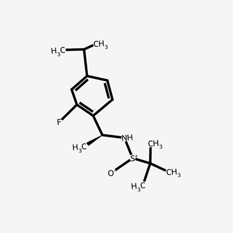 CC(C)c1ccc([C@H](C)N[S+]([O-])C(C)(C)C)c(F)c1